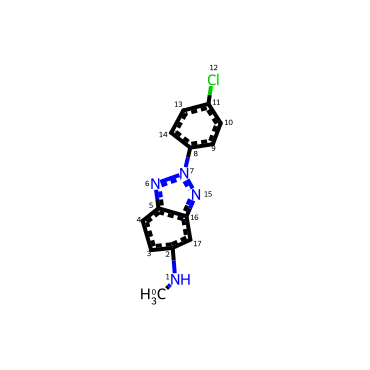 CNc1ccc2nn(-c3ccc(Cl)cc3)nc2c1